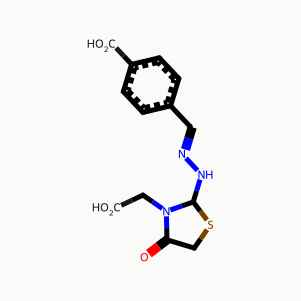 O=C(O)CN1C(=O)CSC1N/N=C/c1ccc(C(=O)O)cc1